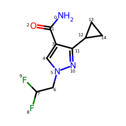 NC(=O)c1cn(CC(F)F)nc1C1CC1